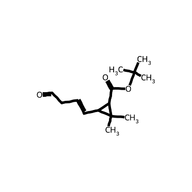 CC(C)(C)OC(=O)C1C(C=CCC=O)C1(C)C